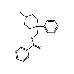 CN1CCC(CNC(=O)c2ccccc2)(c2ccccc2)CC1